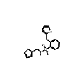 O=S(=O)(NCc1ccco1)c1ccccc1Cc1cccs1